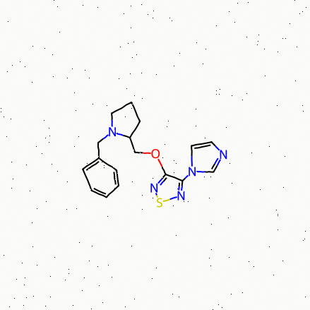 c1ccc(CN2CCCC2COc2nsnc2-n2ccnc2)cc1